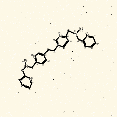 CCN(Cc1ccccn1)Cc1ccc(CCc2ccc(CN(CC)Cc3ccccn3)nc2)cn1